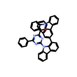 c1ccc(-c2nc(-c3ccccc3)nc(-n3c4ccccc4c4cccc(-c5cc6c7ccccc7n7c8ccccc8c(c5)c67)c43)n2)cc1